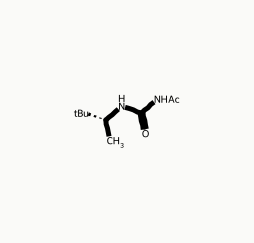 CC(=O)NC(=O)N[C@H](C)C(C)(C)C